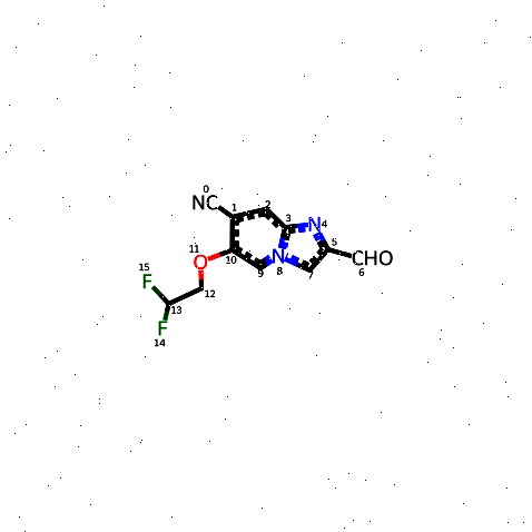 N#Cc1cc2nc(C=O)cn2cc1OCC(F)F